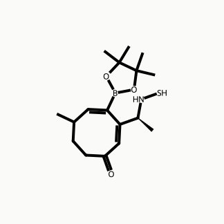 CC1/C=C(B2OC(C)(C)C(C)(C)O2)\C([C@H](C)NS)=C/C(=O)CC1